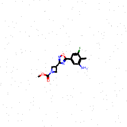 COC(=O)N1CC(c2noc(-c3cc(N)c(C)c(F)c3)n2)C1